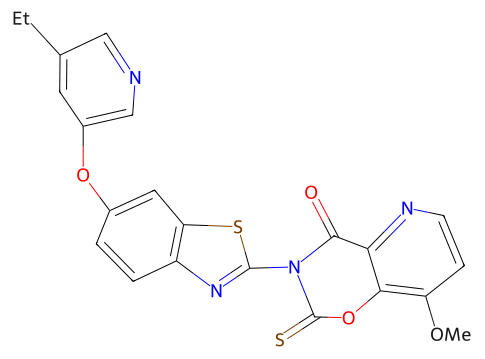 CCc1cncc(Oc2ccc3nc(-n4c(=S)oc5c(OC)ccnc5c4=O)sc3c2)c1